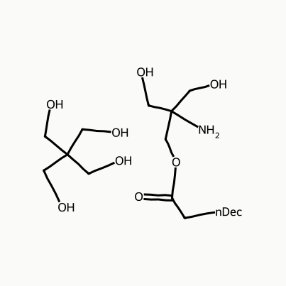 CCCCCCCCCCCC(=O)OCC(N)(CO)CO.OCC(CO)(CO)CO